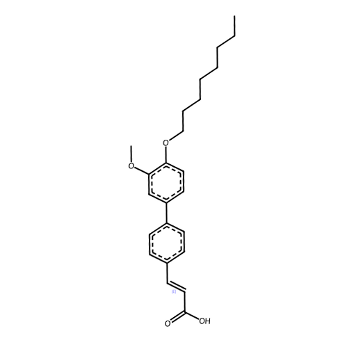 CCCCCCCCOc1ccc(-c2ccc(/C=C/C(=O)O)cc2)cc1OC